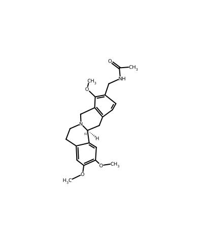 COc1cc2c(cc1OC)[C@@H]1Cc3ccc(CNC(C)=O)c(OC)c3CN1CC2